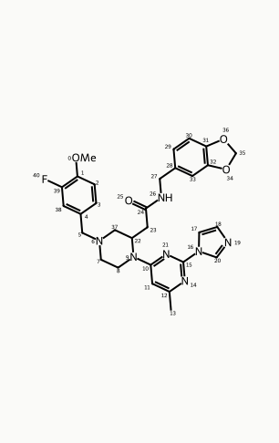 COc1ccc(CN2CCN(c3cc(C)nc(-n4ccnc4)n3)C(CC(=O)NCc3ccc4c(c3)OCO4)C2)cc1F